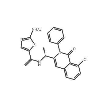 C=C(N[C@@H](C)c1cc2cccc(Cl)c2c(=O)n1-c1ccccc1)c1cnc(NC(C)=O)s1